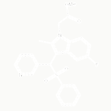 COC(=O)Cn1c(C)c(C(c2cccnc2)S(=O)(=O)c2ccccc2)c2cc(F)ccc21